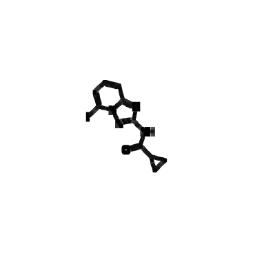 O=C(Nc1nc2cccc(I)n2n1)C1CC1